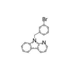 Brc1cccc(Cn2c3ccccc3c3cccnc32)c1